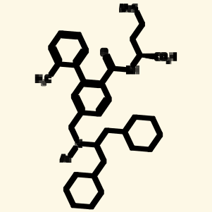 CSCC[C@H](NC(=O)c1ccc(CN(C(C)=O)C(CC2CCCCC2)CC2CCCCC2)cc1-c1ccccc1C)C(=O)O